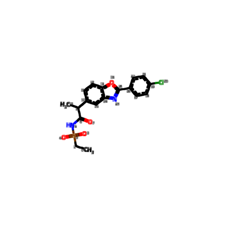 CCS(=O)(=O)NC(=O)C(C)c1ccc2oc(-c3ccc(Cl)cc3)nc2c1